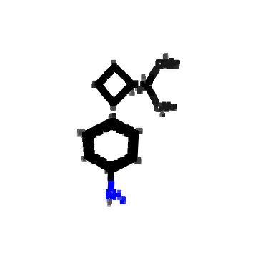 C1CCC1.CO[SiH2]OC.Nc1ccccc1